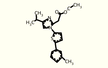 CCOC(=O)Cc1nc(C(C)C)cn1-c1ccc(-c2cccc(C)c2)s1